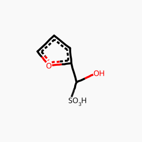 O=S(=O)(O)C(O)c1ccco1